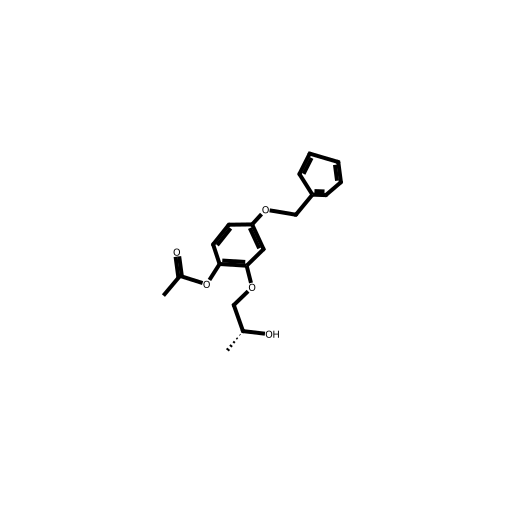 CC(=O)Oc1ccc(OCc2ccccc2)cc1OC[C@@H](C)O